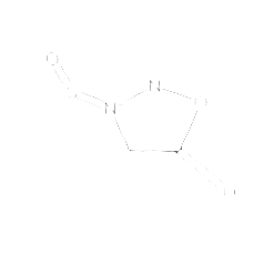 O=S=[N+]1CC(=O)O[N-]1